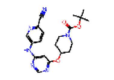 CC(C)(C)OC(=O)N1CCC(Oc2cc(Nc3ccc(C#N)nc3)ncn2)CC1